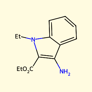 CCOC(=O)c1c(N)c2ccccc2n1CC